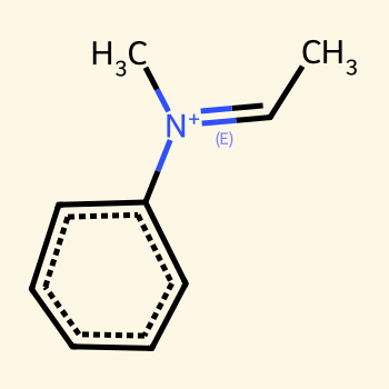 C/C=[N+](\C)c1ccccc1